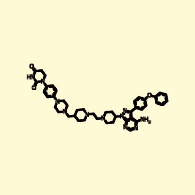 Nc1ncnc2c1c(-c1ccc(Oc3ccccc3)cc1)nn2C1CCN(CCN2CCC(CN3CCN(c4ccc(N5CCC(=O)NC5=O)cc4)CC3)CC2)CC1